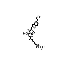 CC(=Cc1cc2cc(CCC(C)C)ccc2n1C)C(=O)c1c(O)cc(C(C)CCC=CNC(=O)O)oc1=O